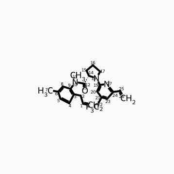 C=CCc1ccc(C)cc1N(C)C(=O)[C@@H]1CCCN1c1cc(C(F)(F)F)cc(C=C)n1